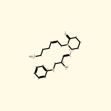 O=C(O)CCC/C=C\CN1C(=O)CCC[C@@H]1/C=C/C(O)COc1ccccc1